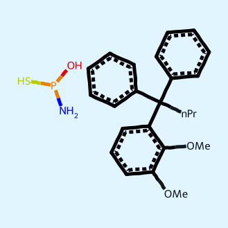 CCCC(c1ccccc1)(c1ccccc1)c1cccc(OC)c1OC.NP(O)S